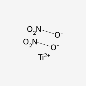 O=[N+]([O-])[O-].O=[N+]([O-])[O-].[Ti+2]